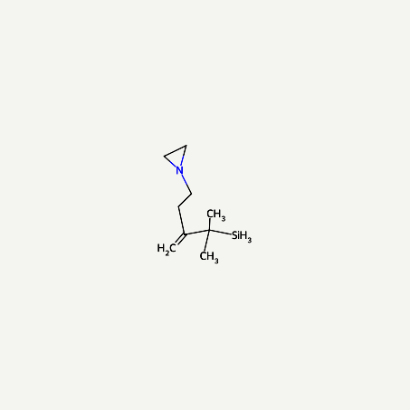 C=C(CCN1CC1)C(C)(C)[SiH3]